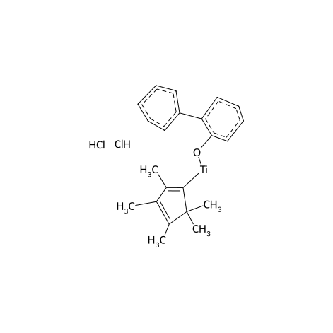 CC1=C(C)C(C)(C)[C]([Ti][O]c2ccccc2-c2ccccc2)=C1C.Cl.Cl